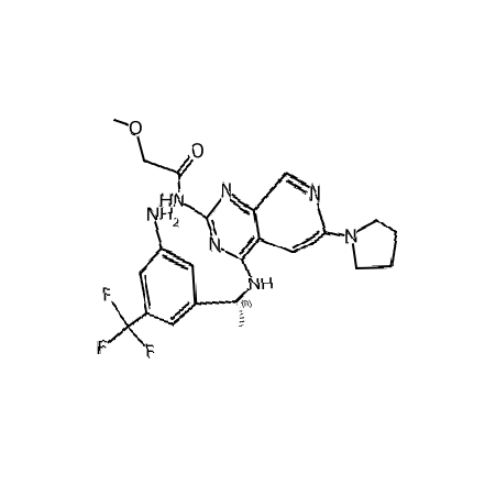 COCC(=O)Nc1nc(N[C@H](C)c2cc(N)cc(C(F)(F)F)c2)c2cc(N3CCCC3)ncc2n1